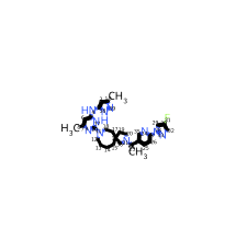 Cc1cc(Nc2cc(C)nc(N3CCCCC4(CC3)CCN([C@H](C)c3ccc(-n5cc(F)cn5)nc3)C4)n2)[nH]n1